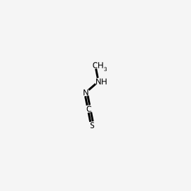 CNN=C=S